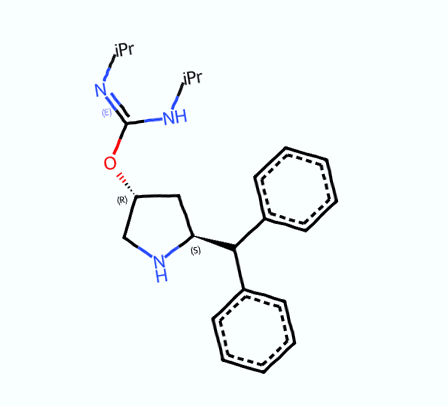 CC(C)/N=C(\NC(C)C)O[C@H]1CN[C@H](C(c2ccccc2)c2ccccc2)C1